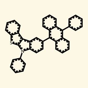 c1ccc(-c2c3ccccc3c(-c3ccc4c(c3)c3c5ccccc5sc3n4-c3ccccc3)c3ccccc23)cc1